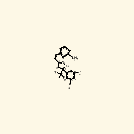 Nc1cccc(/C=C\C2=NOC(c3cc(Cl)cc(Cl)c3)(C(F)(F)F)C2)c1